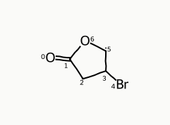 O=C1CC(Br)[CH]O1